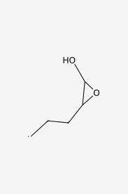 [CH2]CCC1OC1O